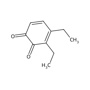 CCC1=C(CC)C(=O)C(=O)C=C1